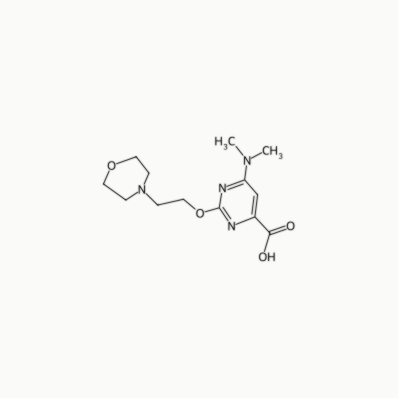 CN(C)c1cc(C(=O)O)nc(OCCN2CCOCC2)n1